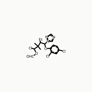 CCC(C(Oc1ccc(Cl)cc1Cl)n1cncn1)C(C)(C)C(Cl)OC=O